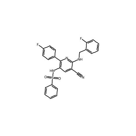 N#Cc1cc(NS(=O)(=O)c2ccccc2)c(-c2ccc(F)cc2)nc1NCc1ccccc1F